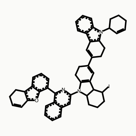 IC1CCCC2C1C1=C(CCC(C3=Cc4c(n(C5C=CCCC5)c5ccccc45)CC3)=C1)N2c1cc2ccccc2c(-c2cccc3c4c(oc23)C=CCC4)n1